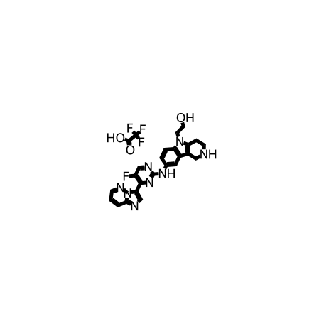 O=C(O)C(F)(F)F.OCCn1c2c(c3cc(Nc4ncc(F)c(-c5cnc6cccnn56)n4)ccc31)CNCC2